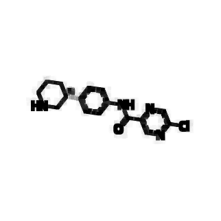 O=C(Nc1ccc([C@H]2CCCNC2)cc1)c1cnc(Cl)cn1